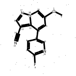 COc1cc(-c2ccc(F)nc2)c2c(C#N)cnn2c1